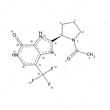 CC(=O)N1CCC[C@@H]1c1nc2c(C(F)(F)F)c[nH]c(=O)c2[nH]1